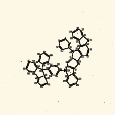 c1ccc(-n2c3cc4c(cc3c3ccc5sc6ccccc6c5c32)c2ccccc2n4-c2ccc(C3(c4ccccc4)c4ccccc4-c4ccccc43)cc2)cc1